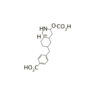 O=C(O)OC1CC2CC(Cc3ccc(C(=O)O)cc3)CC[C@H]2CN1